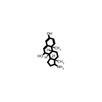 C[C@]12C=CC(O)=CC1=CC(O)[C@@H]1[C@H]2CC[C@]2(C)C(N)CC[C@@H]12